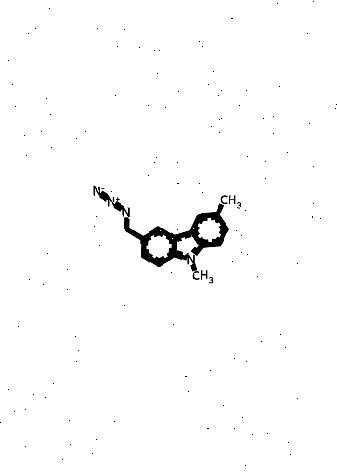 Cc1ccc2c(c1)c1cc(CN=[N+]=[N-])ccc1n2C